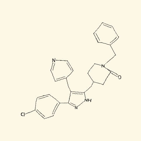 O=C1CC(c2[nH]nc(-c3ccc(Cl)cc3)c2-c2ccncc2)CCN1Cc1ccccc1